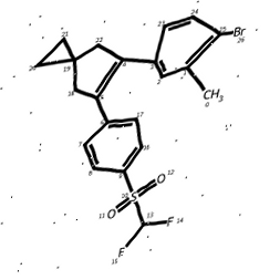 Cc1cc(C2=C(c3ccc(S(=O)(=O)C(F)F)cc3)CC3(CC3)C2)ccc1Br